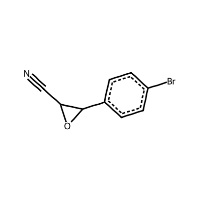 N#CC1OC1c1ccc(Br)cc1